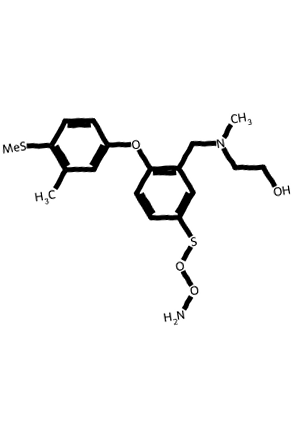 CSc1ccc(Oc2ccc(SOON)cc2CN(C)CCO)cc1C